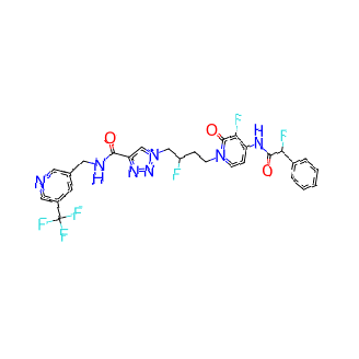 O=C(NCc1cncc(C(F)(F)F)c1)c1cn(CC(F)CCn2ccc(NC(=O)C(F)c3ccccc3)c(F)c2=O)nn1